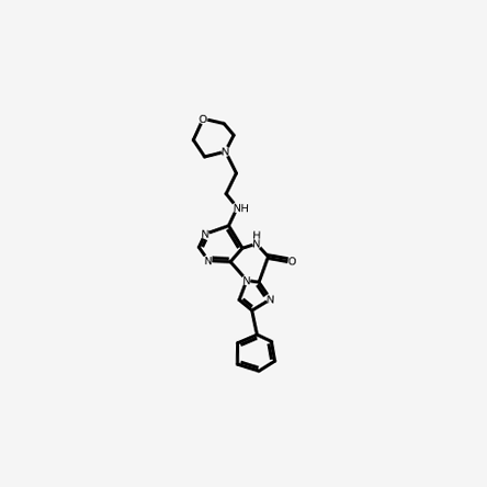 O=c1[nH]c2c(NCCN3CCOCC3)ncnc2n2cc(-c3ccccc3)nc12